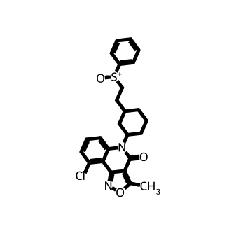 Cc1onc2c1c(=O)n(C1CCCC(CC[S+]([O-])c3ccccc3)C1)c1cccc(Cl)c21